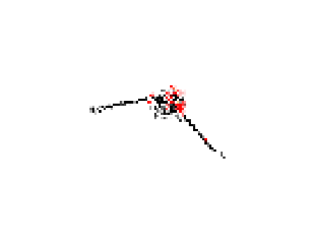 CCCCCCCCCCCCCCCCOC(=O)c1cc(C(C)(C)C)c(OC(c2c(C(C)(C)C)cc(C(=O)OCCCCCCCCCCCCCCCC)cc2C(C)(C)C)C(CO)(COP(O)O)COP(O)O)c(C(C)(C)C)c1